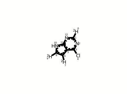 [2H]c1nc(Cl)c2c([2H])c([2H])[nH]c2n1